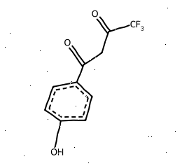 O=C(CC(=O)C(F)(F)F)c1ccc(O)cc1